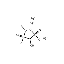 COP(=O)([O-])C(O)P(=O)([O-])[O-].[Ag+].[Ag+].[Ag+]